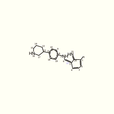 CC1=CC=C/C(=C/Nc2ccc(C3CCCNC3)cc2)C1=N